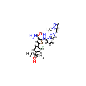 Cn1nccc1CNCc1cccc(Nc2sc(-c3ccc(C(C)(C)O)cc3F)cc2C(N)=O)n1